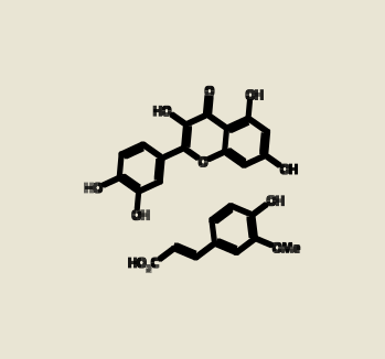 COc1cc(C=CC(=O)O)ccc1O.O=c1c(O)c(-c2ccc(O)c(O)c2)oc2cc(O)cc(O)c12